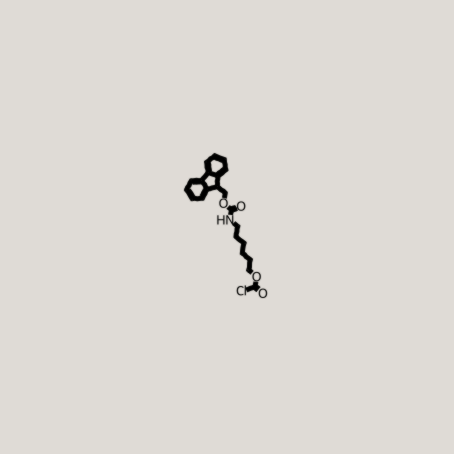 O=C(Cl)OCCCCCCNC(=O)OCC1c2ccccc2-c2ccccc21